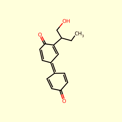 CCC(CO)C1=CC(=C2C=CC(=O)C=C2)C=CC1=O